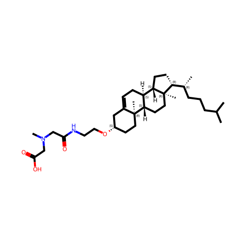 CC(C)CCC[C@@H](C)[C@H]1CC[C@H]2[C@@H]3CC=C4C[C@@H](OCCNC(=O)CN(C)CC(=O)O)CC[C@]4(C)[C@H]3CC[C@]12C